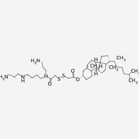 CC(C)CCC[C@@H](C)[C@H]1CC[C@H]2[C@@H]3CC=C4C[C@@H](OC(=O)CSSCC(=O)N(CCCN)CCCCNCCCN)CC[C@]4(C)[C@H]3CC[C@]12C